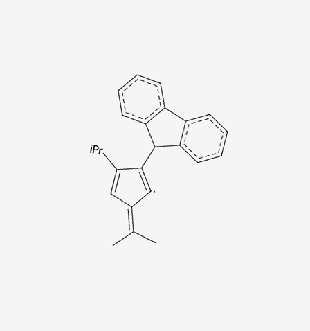 CC(C)=C1[C]=C(C2c3ccccc3-c3ccccc32)C(C(C)C)=C1